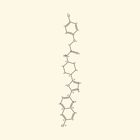 O=C(COc1ccc(Cl)cc1)NC1CCC(c2nnc(-c3ccc4cc(Cl)ccc4n3)o2)CC1